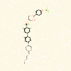 CCCCCC1CCC(c2ccc(-c3cc(F)c(C(F)(F)OC4COC(c5ccc(OC(F)(F)F)cc5)OC4)c(F)c3)c(F)c2)CC1